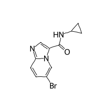 O=C(NC1CC1)c1cnc2ccc(Br)cn12